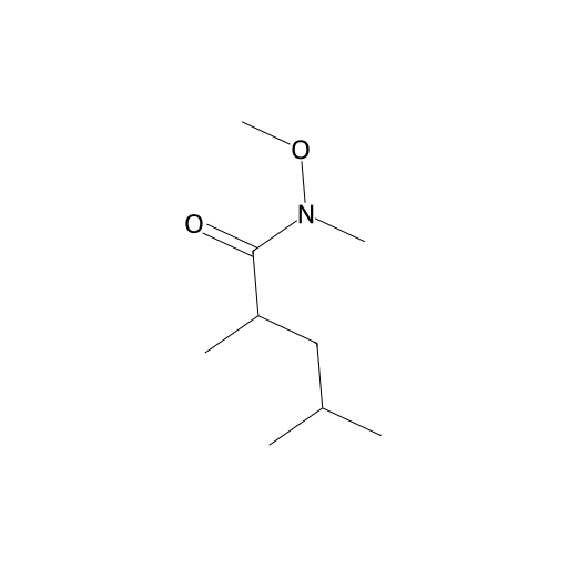 CON(C)C(=O)C(C)CC(C)C